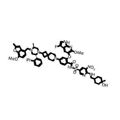 COc1nc2[nH]cc(F)c2cc1Oc1cc(N2CCC3(CC2)CC(N2C[C@H](C)N(Cc4ccc(OC)c5oc(C)cc45)C[C@H]2c2ccccc2C(C)C)C3)ccc1C(=O)NS(=O)(=O)c1cnc(NCC2CCC(C)(O)CC2)c([N+](=O)[O-])c1